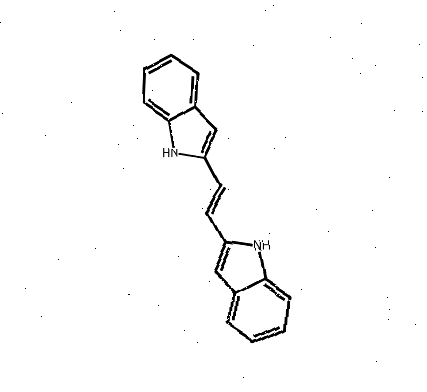 C(=C\c1cc2ccccc2[nH]1)/c1cc2ccccc2[nH]1